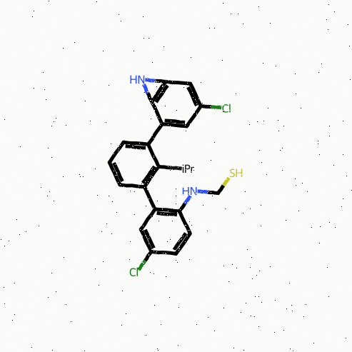 CC(C)c1c(-c2cc(Cl)ccc2NCS)cccc1-c1cc(Cl)cc2c1N2